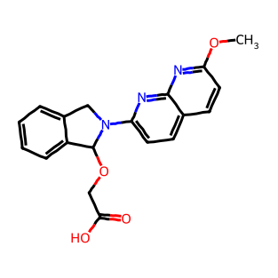 COc1ccc2ccc(N3Cc4ccccc4C3OCC(=O)O)nc2n1